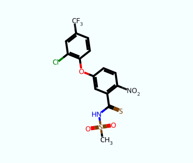 CS(=O)(=O)NC(=S)c1cc(Oc2ccc(C(F)(F)F)cc2Cl)ccc1[N+](=O)[O-]